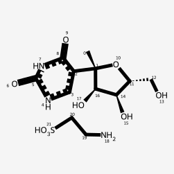 C[C@@]1(c2c[nH]c(=O)[nH]c2=O)O[C@H](CO)[C@@H](O)[C@H]1O.NCCS(=O)(=O)O